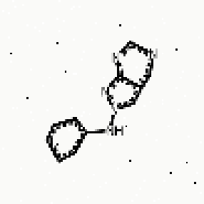 c1ccc(Nn2cc3cncnc3n2)cc1